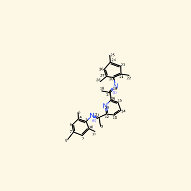 C/C(=N\c1c(C)cc(C)cc1C)c1cccc(/C(C)=N/c2c(C)cc(C)cc2C)n1